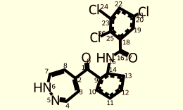 O=C(C1=CC=NNC=C1)c1ccccc1NC(=O)c1cc(Cl)cc(Cl)c1Cl